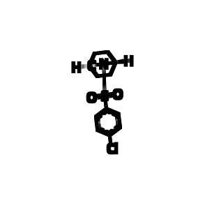 O=S(=O)(c1ccc(Cl)cc1)N1C[C@H]2CC[C@@H](CC2)C1